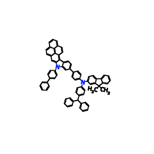 CC1(C)c2ccccc2-c2ccc(N(c3ccc(-c4ccc5c6c7ccc8cccc9ccc(cc6n(-c6ccc(-c%10ccccc%10)cc6)c5c4)c7c98)cc3)c3ccc(C(c4ccccc4)c4ccccc4)cc3)cc21